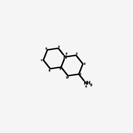 NC1CCN2CCCCC2C1